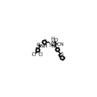 N#Cc1c(-c2ccc(-c3cc4ccccc4s3)cc2)nc(SCc2cccc(NC(=O)c3ccc(Cl)c(Cl)c3)c2)[nH]c1=O